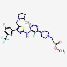 COC(=O)CCN1CCN(c2ncnc(Nc3nc(-c4cc(F)cc(C(F)(F)F)c4)c(CN4CCCC4C)s3)c2F)CC1